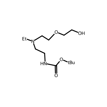 CCN(CCNC(=O)OC(C)(C)C)CCOCCO